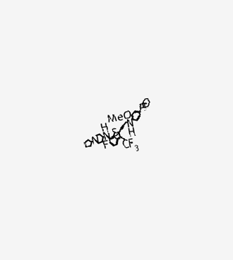 COc1cc(P(C)(C)=O)ccc1NCC#Cc1sc2c(NC3CCN(C4CCCC4)CC3F)cccc2c1CC(F)(F)F